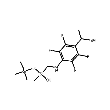 CCCCC(C)c1c(F)c(F)c(NC[Si](C)(O)O[Si](C)(C)C)c(F)c1F